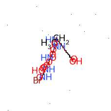 C=C(CCCCCCCCCCCCCCCCCCC(=O)O)N[C@H](C)CCC(=O)NCCOCCOCC(=O)NCCOCCOCC(=O)N[C@@H](CCCCNC(=O)CBr)C(=O)O